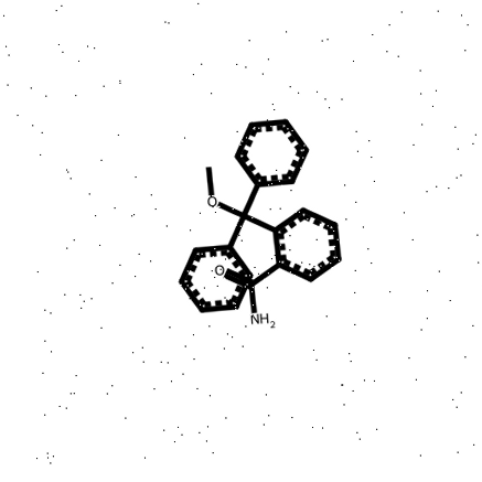 COC(c1ccccc1)(c1ccccc1)c1ccccc1C(N)=O